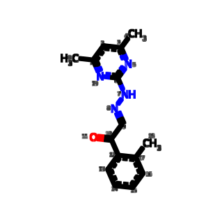 Cc1cc(C)nc(NN=CC(=O)c2ccccc2C)n1